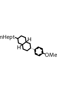 CCCCCCCC1CC[C@@H]2C[C@H](c3ccc(OC)cc3)CC[C@@H]2C1